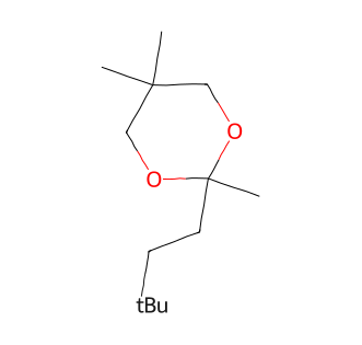 CC(C)(C)CCC1(C)OCC(C)(C)CO1